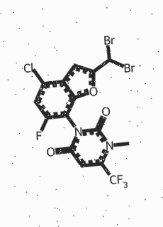 Cn1c(C(F)(F)F)cc(=O)n(-c2c(F)cc(Cl)c3cc(C(Br)Br)oc23)c1=O